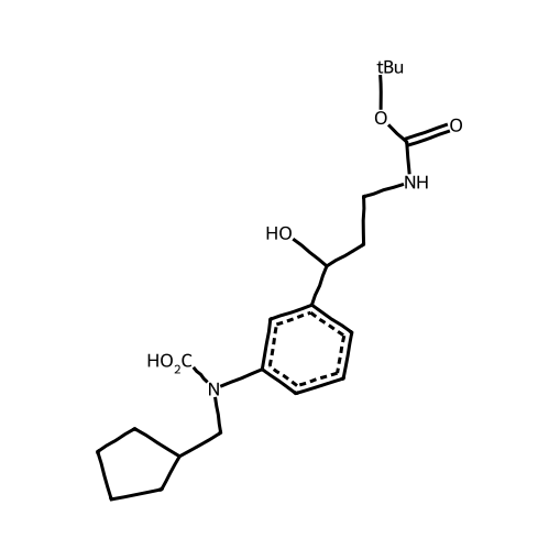 CC(C)(C)OC(=O)NCCC(O)c1cccc(N(CC2CCCC2)C(=O)O)c1